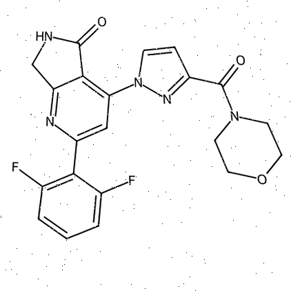 O=C1NCc2nc(-c3c(F)cccc3F)cc(-n3ccc(C(=O)N4CCOCC4)n3)c21